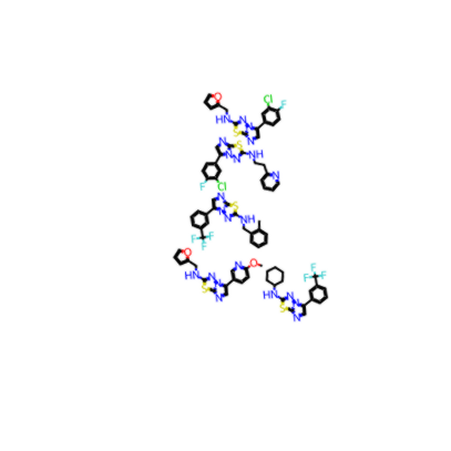 COc1ccc(-c2cnc3sc(NCc4ccco4)nn23)cn1.Cc1ccccc1CNc1nn2c(-c3cccc(C(F)(F)F)c3)cnc2s1.FC(F)(F)c1cccc(-c2cnc3sc(NC4CCCCC4)nn23)c1.Fc1ccc(-c2cnc3sc(NCCc4ccccn4)nn23)cc1Cl.Fc1ccc(-c2cnc3sc(NCc4ccco4)nn23)cc1Cl